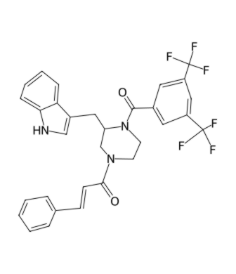 O=C(/C=C/c1ccccc1)N1CCN(C(=O)c2cc(C(F)(F)F)cc(C(F)(F)F)c2)C(Cc2c[nH]c3ccccc23)C1